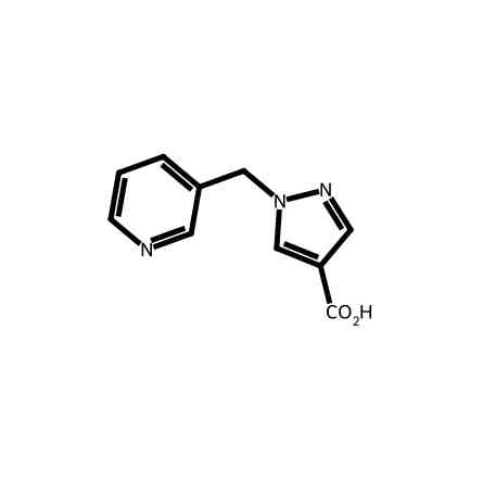 O=C(O)c1cnn(Cc2cccnc2)c1